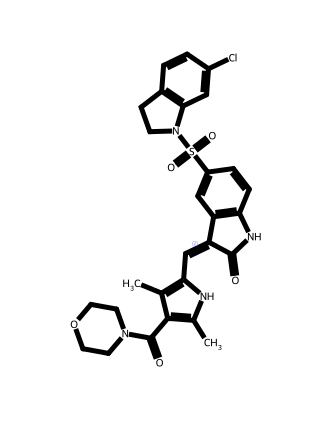 Cc1[nH]c(/C=C2\C(=O)Nc3ccc(S(=O)(=O)N4CCc5ccc(Cl)cc54)cc32)c(C)c1C(=O)N1CCOCC1